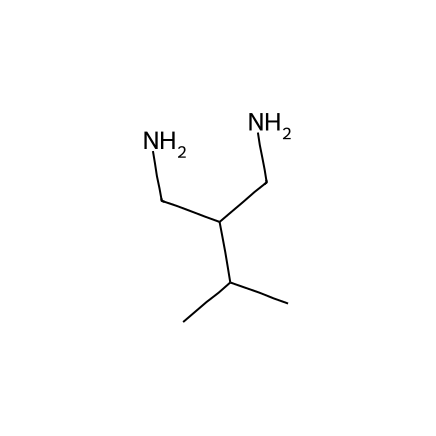 CC(C)C(CN)CN